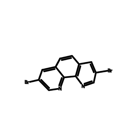 Brc1cnc2c(ccc3cc(Br)cnc32)c1